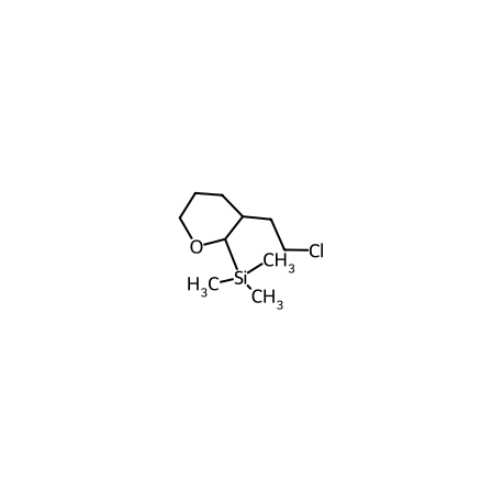 C[Si](C)(C)C1OCCCC1CCCl